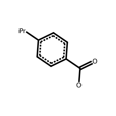 CC(C)c1ccc(C([O])=O)cc1